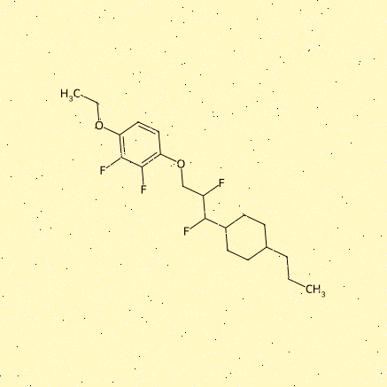 CCCC1CCC(C(F)C(F)COc2ccc(OCC)c(F)c2F)CC1